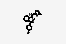 Cc1coc(NC(=O)C2CCCCC2C(=O)c2ccc(Br)cc2)n1